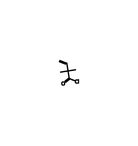 C=CC(C)(C)C(=O)Cl